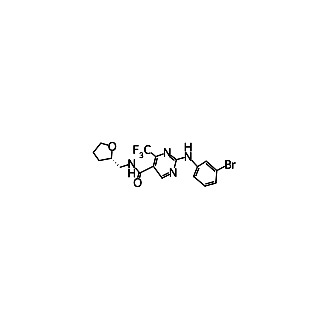 O=C(NC[C@@H]1CCCO1)c1cnc(Nc2cccc(Br)c2)nc1C(F)(F)F